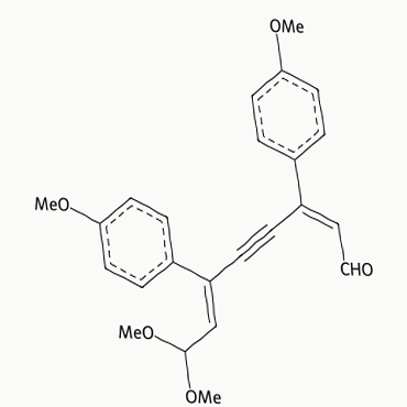 COc1ccc(C(C#CC(=CC(OC)OC)c2ccc(OC)cc2)=CC=O)cc1